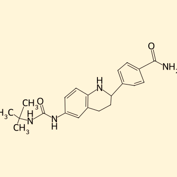 CC(C)(C)NC(=O)Nc1ccc2c(c1)CCC(c1ccc(C(N)=O)cc1)N2